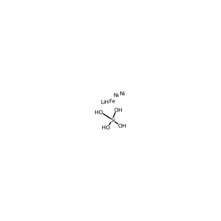 O[Si](O)(O)O.[Fe].[LiH].[Ni].[Ni]